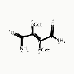 CCCCCCCCC(C(N)=O)=C(CCCCCCCC)C(N)=O